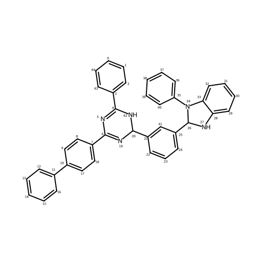 c1ccc(C2=NC(c3ccc(-c4ccccc4)cc3)=NC(c3cccc(C4Nc5ccccc5N4c4ccccc4)c3)N2)cc1